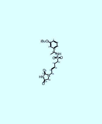 CC(C)COc1cccc(C(C)NS(=O)(=O)CC/C=C/CN2CC(=O)NC2=O)c1